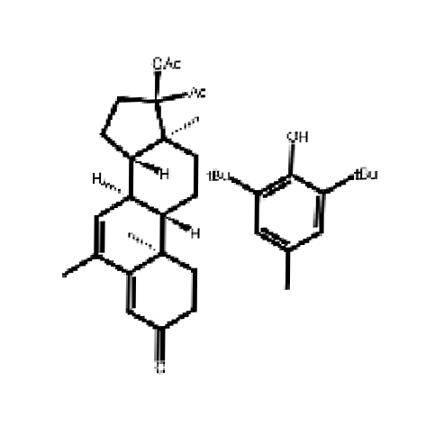 CC(=O)O[C@]1(C(C)=O)CC[C@H]2[C@@H]3C=C(C)C4=CC(=O)CC[C@]4(C)[C@H]3CC[C@@]21C.Cc1cc(C(C)(C)C)c(O)c(C(C)(C)C)c1